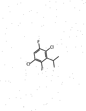 CC(C)c1c(F)c(Cl)cc(F)c1Cl